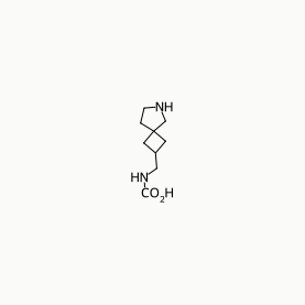 O=C(O)NCC1CC2(CCNC2)C1